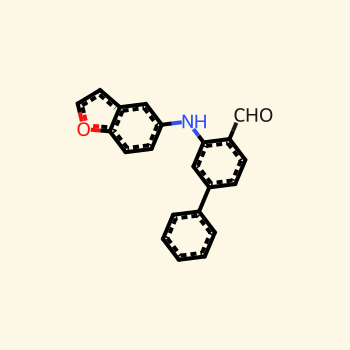 O=Cc1ccc(-c2ccccc2)cc1Nc1ccc2occc2c1